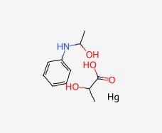 CC(O)C(=O)O.CC(O)Nc1ccccc1.[Hg]